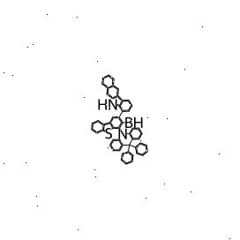 B1c2cccc3c2N(c2ccccc2C3(c2ccccc2)c2ccccc2)c2c1c(-c1cccc3c1[nH]c1cc4ccccc4cc13)cc1c2sc2ccccc21